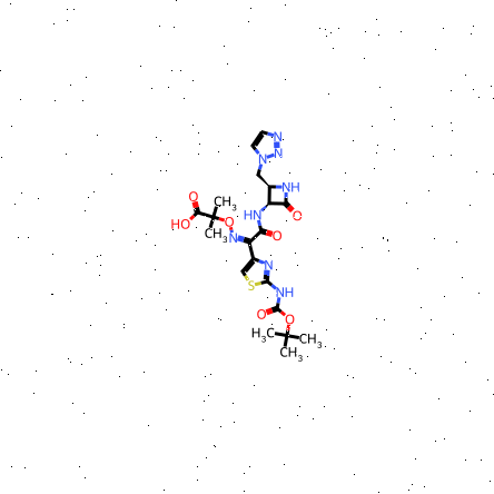 CC(C)(C)OC(=O)Nc1nc(C(=NOC(C)(C)C(=O)O)C(=O)N[C@@H]2C(=O)N[C@@H]2Cn2ccnn2)cs1